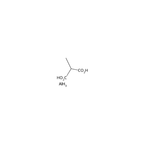 CC(C(=O)O)C(=O)O.[AlH3]